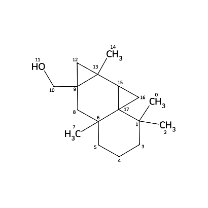 CC1(C)CCCC2(C)CC3(CO)CC3(C)C3CC312